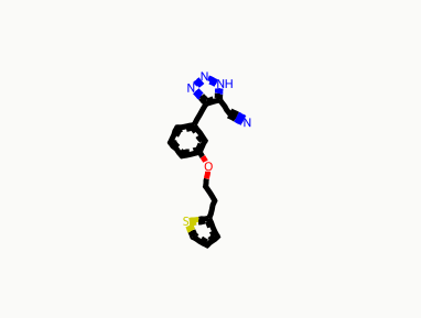 N#Cc1[nH]nnc1-c1cccc(OCCc2cccs2)c1